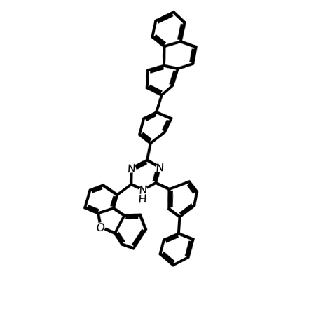 c1ccc(-c2cccc(C3=NC(c4ccc(-c5ccc6c(ccc7ccccc76)c5)cc4)=NC(c4cccc5oc6ccccc6c45)N3)c2)cc1